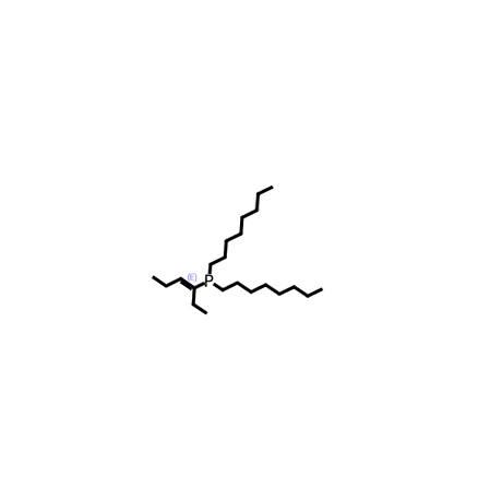 CC/C=C(\CC)P(CCCCCCCC)CCCCCCCC